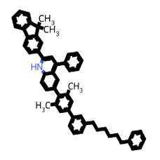 Cc1cc(-c2cccc(CCCCCCc3ccccc3)c2)cc(C)c1C1=CC2=C(c3ccccc3)C=C(c3ccc4c(c3)C(C)(C)c3ccccc3-4)NC2C=C1